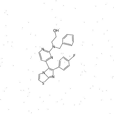 OCCN(Cc1ccccc1)c1nccc(-c2c(-c3ccc(F)cc3)nc3sccn23)n1